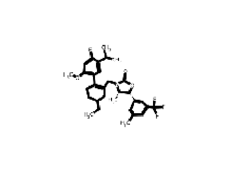 CCC1CCC(c2cc(C(C)C)c(F)cc2OC)=C(CN2C(=O)O[C@H](c3cc(C)cc(C(F)(F)F)c3)[C@@H]2C)C1